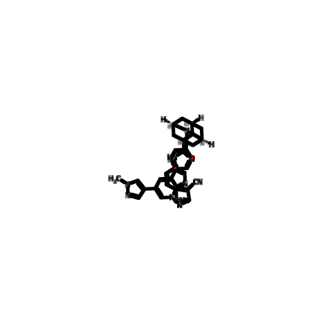 COc1ccc(NC(=O)[C@]23C[C@@H]4C[C@H](C2)N(c2cnc(-c5cc(-c6cnn(C)c6)cn6ncc(C#N)c56)cn2)[C@@H](C4)C3)cn1